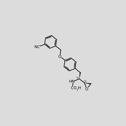 N#Cc1cccc(COc2ccc(C[C@H](NC(=O)O)[C@H]3CO3)cc2)c1